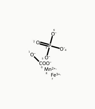 O=C([O-])[O-].O=P([O-])([O-])[O-].[Fe+3].[Mn+2]